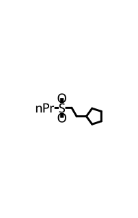 [CH2]CCS(=O)(=O)CCC1CCCC1